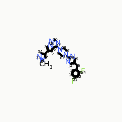 Cn1cc(-c2cc3c(N4CCN(c5ncc(Cc6ccc(F)cc6F)cn5)CC4)ncnn3c2)cn1